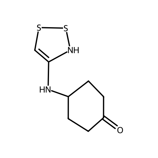 O=C1CCC(NC2=CSSN2)CC1